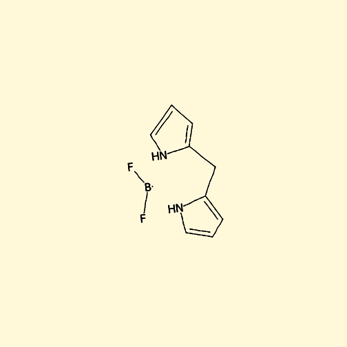 F[B]F.c1c[nH]c(Cc2ccc[nH]2)c1